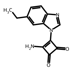 CCc1ccc2ncn(-c3c(N)c(=O)c3=O)c2c1